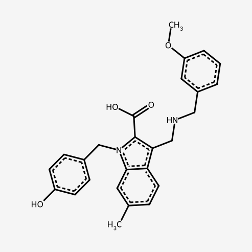 COc1cccc(CNCc2c(C(=O)O)n(Cc3ccc(O)cc3)c3cc(C)ccc23)c1